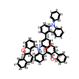 c1ccc(-n2c3ccccc3c3c(-c4cccc(N(c5ccccc5-c5cccc6c5oc5ccccc56)c5cccc6oc7c8ccccc8ccc7c56)c4)cccc32)cc1